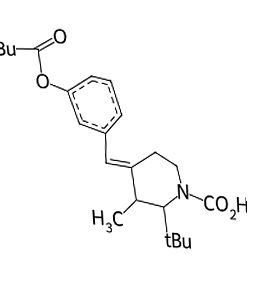 CC1C(=Cc2cccc(OC(=O)C(C)(C)C)c2)CCN(C(=O)O)C1C(C)(C)C